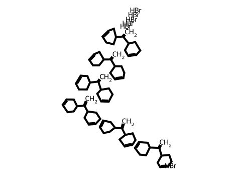 Br.Br.Br.Br.Br.Br.C=C(C1CC=CCC1)C1CC=CCC1.C=C(C1CC=CCC1)C1CC=CCC1.C=C(C1CC=CCC1)C1CC=CCC1.C=C(C1CC=CCC1)C1CC=CCC1.C=C(C1CC=CCC1)C1CC=CCC1.C=C(C1CC=CCC1)C1CC=CCC1